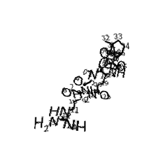 CN(CC(=O)N[C@@H](C=O)CCCNC(=N)N)C(=O)C(CCC(N)=O)NS(=O)(=O)C1C(=O)C2(C)CCC1C2(C)C